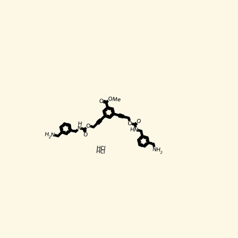 COC(=O)c1cc(C#CCOC(=O)NCc2cccc(CN)c2)cc(C#CCOC(=O)NCc2cccc(CN)c2)c1.Cl.Cl